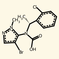 C[C@H](c1ccccc1Cl)N(C(=O)O)c1c(Br)cnn1C